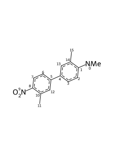 CNc1ccc(-c2ccc([N+](=O)[O-])c(C)c2)cc1C